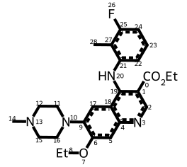 CCOC(=O)c1cnc2cc(OCC)c(N3CCN(C)CC3)cc2c1Nc1cccc(F)c1C